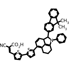 CC1(C)c2ccccc2-c2ccc(C3C4C=CC(c5ccc(-c6ccc(C=C(C#N)C(=O)O)s6)s5)=C5CCCC(=C54)N3c3ccccc3)cc21